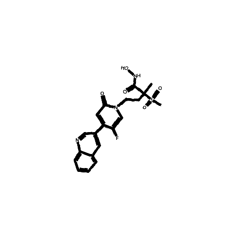 CC(CCn1cc(F)c(-c2cnc3ccccc3c2)cc1=O)(C(=O)NO)S(C)(=O)=O